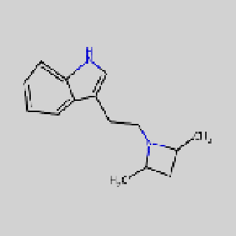 CC1CC(C)N1CCc1c[nH]c2ccccc12